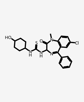 CN1C(=O)C(NC(=S)NC2CCC(O)CC2)N=C(c2ccccc2)c2cc(Cl)ccc21